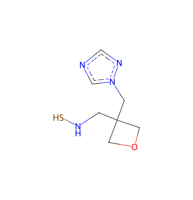 SNCC1(Cn2cncn2)COC1